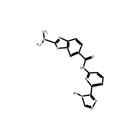 CC(C)n1cnnc1-c1cccc(NC(=O)c2ccc3nc(N(C)C)sc3c2)n1